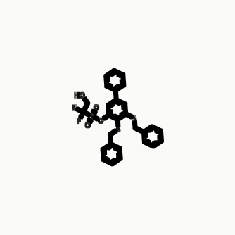 O=S(=O)(Oc1cc(-c2ccccc2)cc(SCc2ccccc2)c1SCc1ccccc1)C(F)(F)CO